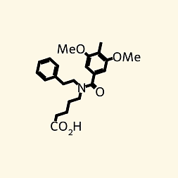 COc1cc(C(=O)N(CCCCC(=O)O)CCc2ccccc2)cc(OC)c1C